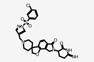 N=C1CCC(N2Cc3c(ccc4c3OCC43CCN(Cc4cnn(S(=O)(=O)c5cccc(Cl)c5)c4)CC3)C2=O)C(=O)N1